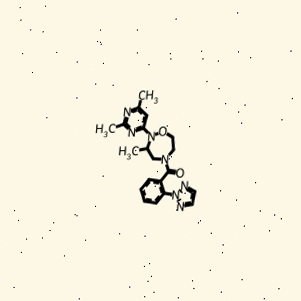 Cc1cc(N2OCCN(C(=O)c3ccccc3-n3nccn3)CC2C)nc(C)n1